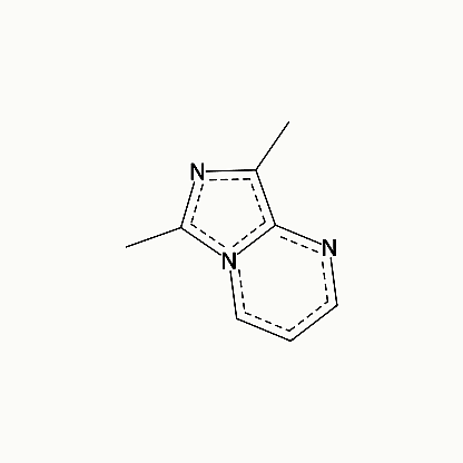 Cc1nc(C)n2cccnc12